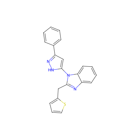 c1ccc(-c2cc(-n3c(Cc4cccs4)nc4ccccc43)[nH]n2)cc1